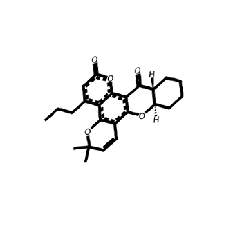 CCCc1cc(=O)oc2c3c(c4c(c12)OC(C)(C)C=C4)O[C@@H]1CCCC[C@H]1C3=O